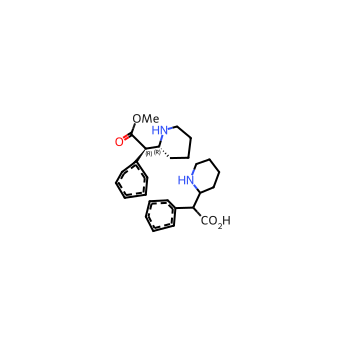 COC(=O)[C@H](c1ccccc1)[C@H]1CCCCN1.O=C(O)C(c1ccccc1)C1CCCCN1